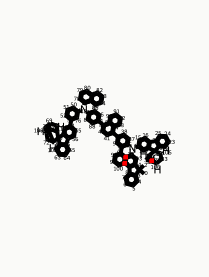 CC1(C)c2ccccc2-c2ccc(N(c3ccc4c(c3)C3(c5ccccc5-4)[C@@H]4CCC5C[C@@H](C4)C[C@H]53)c3ccc(-c4ccc(-c5ccc(N(c6cccc(-c7ccc8c(c7)C7(c9ccccc9-8)[C@H]8CC9C[C@H](C8)C[C@H]7C9)c6)c6cccc7ccccc67)cc5)c5ccccc45)cc3-c3ccccc3)cc21